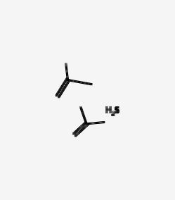 C=C(C)C.C=C(C)C.S